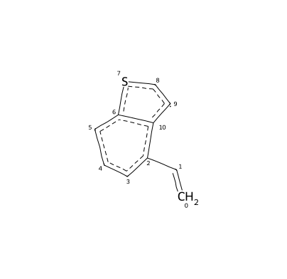 C=Cc1cccc2sc[c]c12